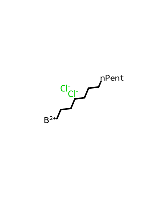 [B+2]CCCCCCCCCCCC.[Cl-].[Cl-]